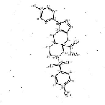 COC(=O)C12Cc3cnn(-c4ccc(F)cc4)c3CC1CCN(S(=O)(=O)c1ccc(C(F)(F)F)cc1)C2